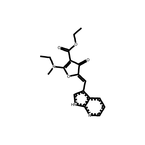 CCOC(=O)C1=C(N(C)CC)O/C(=C\c2c[nH]c3ncccc23)C1=O